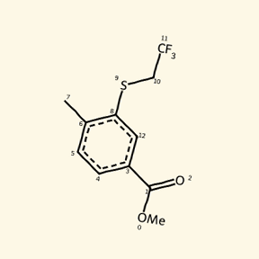 COC(=O)c1ccc(C)c(SCC(F)(F)F)c1